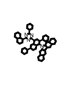 c1ccc(-c2ccc3c(-n4c5cc6ccccc6cc5c5cc6ccccc6cc54)c(-c4ccccc4)cc(-c4nc(-c5ccccc5)nc(-c5cccc6ccccc56)n4)c3c2)cc1